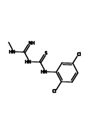 CNC(=N)NC(=S)Nc1cc(Cl)ccc1Cl